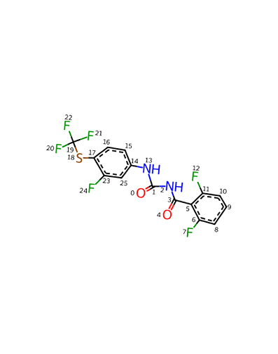 O=C(NC(=O)c1c(F)cccc1F)Nc1ccc(SC(F)(F)F)c(F)c1